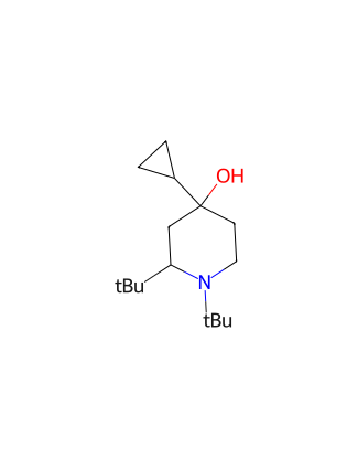 CC(C)(C)C1CC(O)(C2CC2)CCN1C(C)(C)C